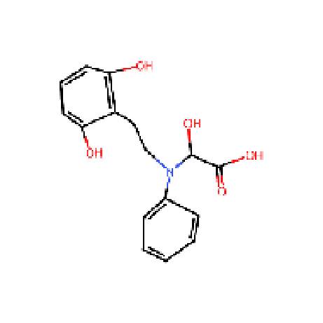 O=C(O)C(O)N(CCc1c(O)cccc1O)c1ccccc1